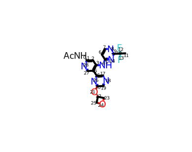 CC(=O)Nc1cc(Nc2ccnc(C(C)(F)F)n2)c(-c2cncc(OC3COC3)n2)cn1